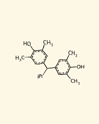 Cc1cc(C(c2cc(C)c(O)c(C)c2)C(C)C)cc(C)c1O